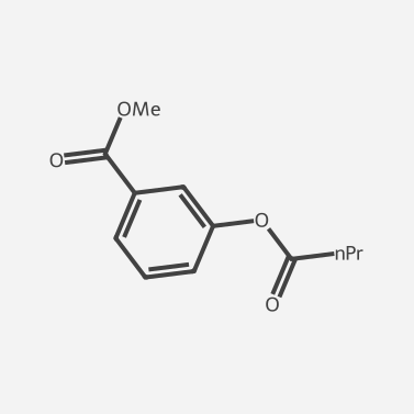 CCCC(=O)Oc1cccc(C(=O)OC)c1